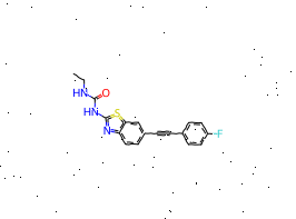 CCNC(=O)Nc1nc2ccc(C#Cc3ccc(F)cc3)cc2s1